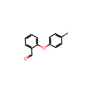 O=Cc1ccccc1Oc1ccc(I)cc1